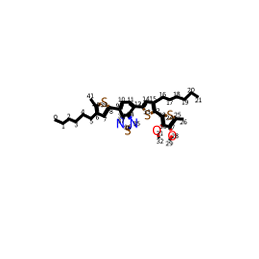 CCCCCCc1cc(-c2ccc(-c3cc(CCCCCC)c(-c4sc(C)c(OC)c4OC)s3)c3nsnc23)sc1C